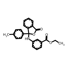 CCOC(=O)c1cccc(NC2(c3ccc(C)cc3)OC(=O)c3ccccc32)c1